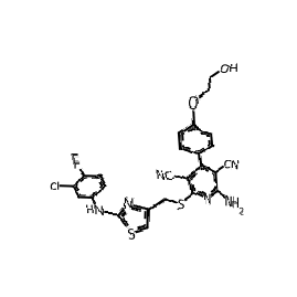 N#Cc1c(N)nc(SCc2csc(Nc3ccc(F)c(Cl)c3)n2)c(C#N)c1-c1ccc(OCCO)cc1